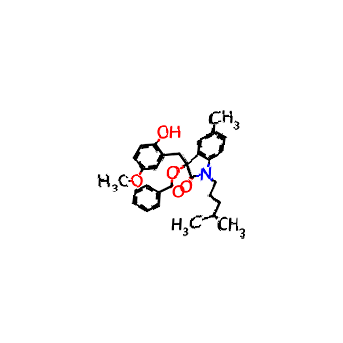 COc1ccc(O)c(CC2(OC(=O)c3ccccc3)C(=O)N(CCCC(C)C)c3ccc(C)cc32)c1